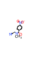 CN(CC#N)C(=O)c1ccc([N+](=O)[O-])cc1